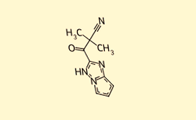 CC(C)(C#N)C(=O)c1nc2cccn2[nH]1